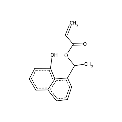 C=CC(=O)OC(C)c1cccc2cccc(O)c12